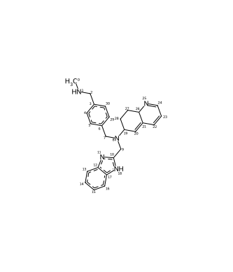 CNCc1ccc(CN(Cc2nc3ccccc3[nH]2)C2C=C3C=CC=NC3CC2)cc1